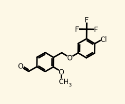 COc1cc(C=O)ccc1COc1ccc(Cl)c(C(F)(F)F)c1